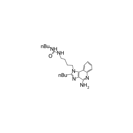 CCCCNC(=O)NCCCCn1c(CCCC)nc2c(N)nc3ccccc3c21